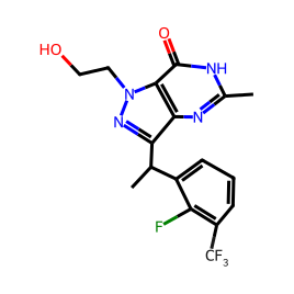 Cc1nc2c(C(C)c3cccc(C(F)(F)F)c3F)nn(CCO)c2c(=O)[nH]1